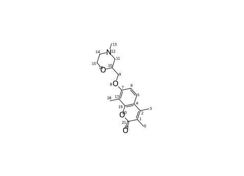 Cc1c(C)c2ccc(OCC3CN(C)CCO3)c(C)c2oc1=O